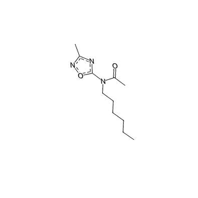 CCCCCCN(C(C)=O)c1nc(C)no1